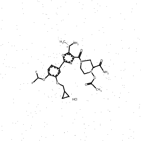 CC(=O)ON1CCN(C(=O)c2nc(-c3ccc(OC(F)F)c(OCC4CC4)c3)oc2[C@H](C)N)CC1C(N)=O.Cl